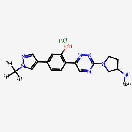 Cl.[2H]C([2H])([2H])n1cc(-c2ccc(-c3cnc(N4CCC(NC(C)(C)C)C4)nn3)c(O)c2)cn1